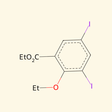 CCOC(=O)c1cc(I)cc(I)c1OCC